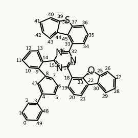 c1ccc(-c2cccc(-c3ccccc3-c3nc(-c4cccc5c4oc4ccccc45)nc(-c4cccc5sc6ccccc6c45)n3)c2)cc1